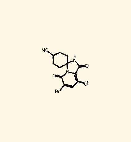 N#CC1CCC2(CC1)NC(=O)c1c(Cl)cc(Br)c(=O)n12